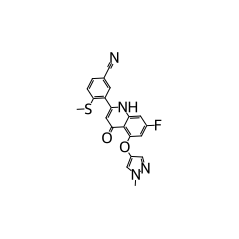 CSc1ccc(C#N)cc1-c1cc(=O)c2c(Oc3cnn(C)c3)cc(F)cc2[nH]1